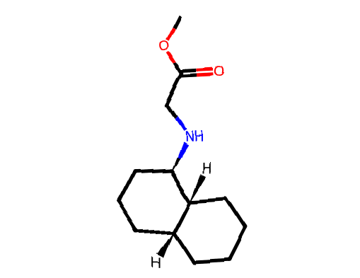 COC(=O)CN[C@@H]1CCC[C@H]2CCCC[C@H]21